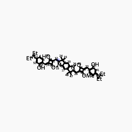 CCN(CC)c1ccc(C=C2C(=O)C(/C=C3\N(C)c4cc5c(cc4C3(C)C)N(C)C(=CC3=C(OC)C(=Cc4ccc(N(CC)CC)cc4O)C3=O)C5(C)C)=C2O)c(O)c1